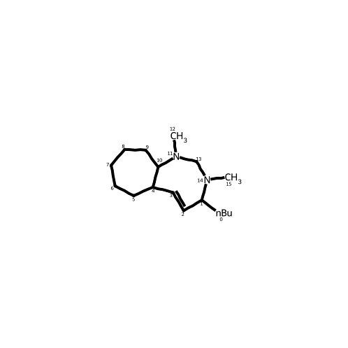 CCCCC1/C=C/C2CCCCCC2N(C)CN1C